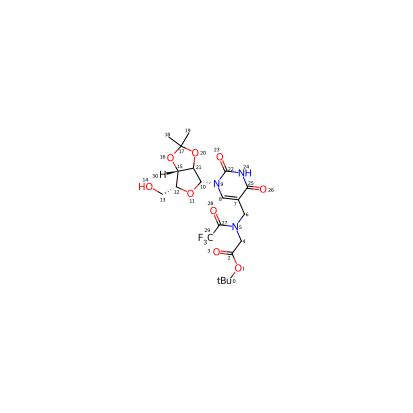 CC(C)(C)OC(=O)CN(Cc1cn([C@@H]2O[C@H](CO)[C@@H]3OC(C)(C)OC32)c(=O)[nH]c1=O)C(=O)C(F)(F)F